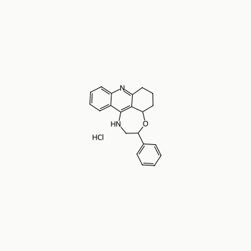 Cl.c1ccc(C2CNc3c4c(nc5ccccc35)CCCC4O2)cc1